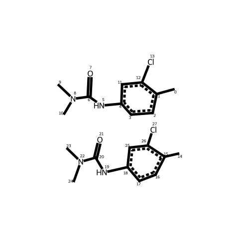 Cc1ccc(NC(=O)N(C)C)cc1Cl.Cc1ccc(NC(=O)N(C)C)cc1Cl